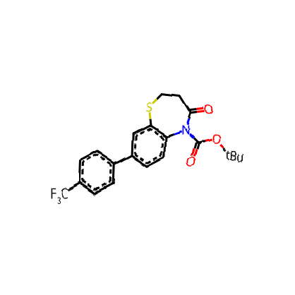 CC(C)(C)OC(=O)N1C(=O)CCSc2cc(-c3ccc(C(F)(F)F)cc3)ccc21